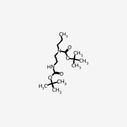 CCCN(CCNC(=O)OC(C)(C)C)C(=O)OC(C)(C)C